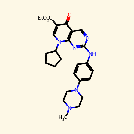 CCOC(=O)c1cn(C2CCCC2)c2nc(Nc3ccc(N4CCN(C)CC4)cc3)ncc2c1=O